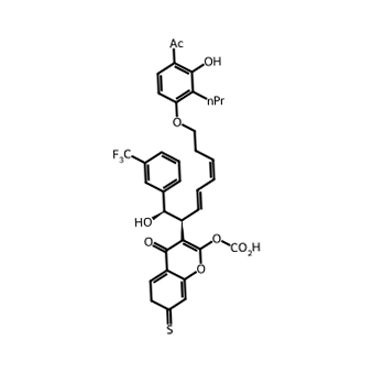 CCCc1c(OCC/C=C\C=C\[C@@H](c2c(OC(=O)O)oc3c(c2=O)=CCC(=S)C=3)[C@@H](O)c2cccc(C(F)(F)F)c2)ccc(C(C)=O)c1O